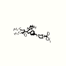 CCC[C@H](C(C)=O)[C@H](Cc1ccc(N2CCN(C(C)=O)CC2)cc1)c1nn[nH]n1